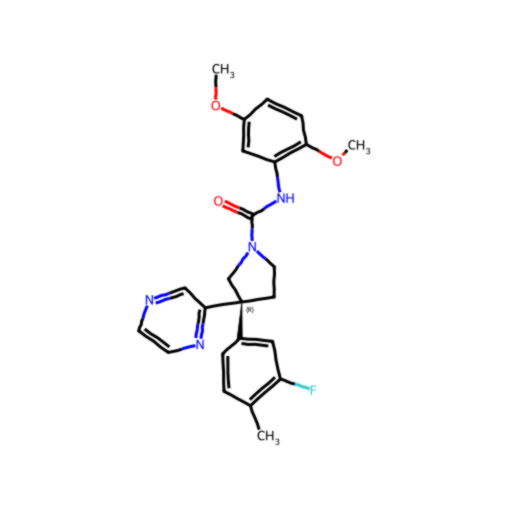 COc1ccc(OC)c(NC(=O)N2CC[C@](c3ccc(C)c(F)c3)(c3cnccn3)C2)c1